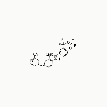 N#Cc1cc(Oc2ccc(NN(C=O)c3ccc4c(c3)C(F)(F)OC(F)(F)O4)c([N+](=O)[O-])c2)ccn1